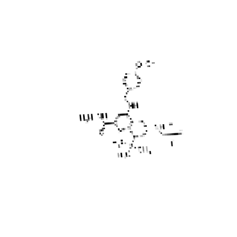 COc1ccc(CNc2cc(C(=O)NN)nc3c(C(C)(C)C)cc(NCC(F)(F)F)cc23)cc1